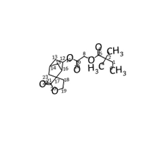 CCC(C)(C)C(=O)OCC(=O)OC1CC2CC1C1(CCOC1=O)C2